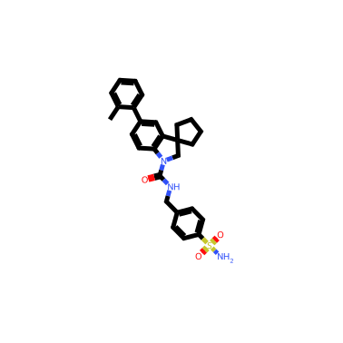 Cc1ccccc1-c1ccc2c(c1)C1(CCCC1)CN2C(=O)NCc1ccc(S(N)(=O)=O)cc1